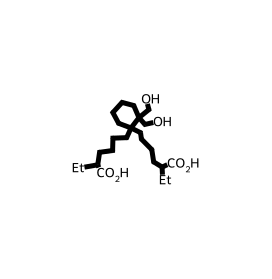 CCC(CCCCC1(CCCCC(CC)C(=O)O)CCCCC1(CO)CO)C(=O)O